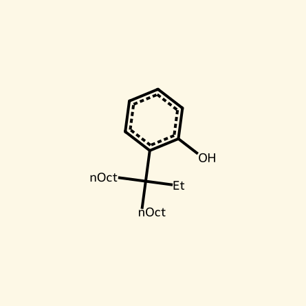 CCCCCCCCC(CC)(CCCCCCCC)c1ccccc1O